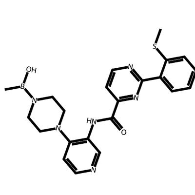 CSc1ccccc1-c1nccc(C(=O)Nc2cnccc2N2CCN(B(C)O)CC2)n1